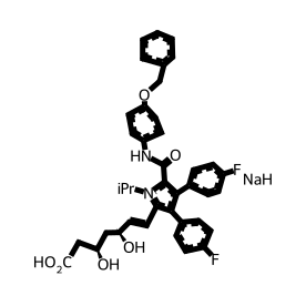 CC(C)n1c(C=C[C@@H](O)C[C@@H](O)CC(=O)O)c(-c2ccc(F)cc2)c(-c2ccc(F)cc2)c1C(=O)Nc1ccc(OCc2ccccc2)cc1.[NaH]